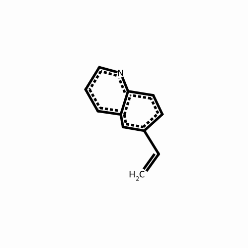 C=Cc1ccc2ncccc2c1